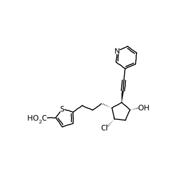 O=C(O)c1ccc(CCC[C@@H]2[C@@H](C#Cc3cccnc3)[C@H](O)C[C@@H]2Cl)s1